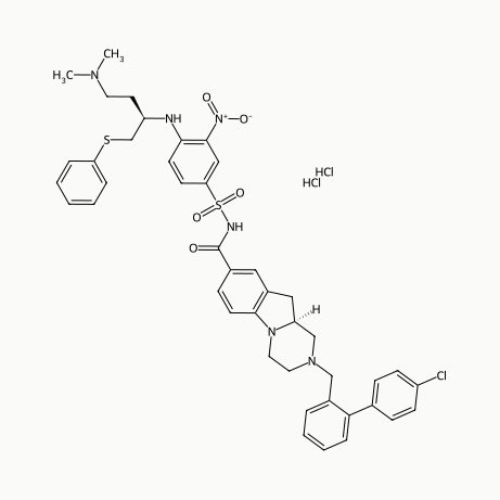 CN(C)CC[C@H](CSc1ccccc1)Nc1ccc(S(=O)(=O)NC(=O)c2ccc3c(c2)C[C@H]2CN(Cc4ccccc4-c4ccc(Cl)cc4)CCN32)cc1[N+](=O)[O-].Cl.Cl